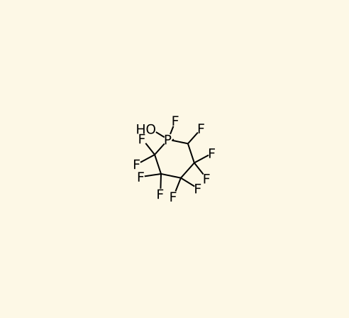 O[P]1(F)C(F)C(F)(F)C(F)(F)C(F)(F)C1(F)F